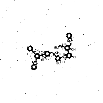 CC(C)(C)CC(C)(C)c1cc(Cn2nc3ccccc3n2)c(O)c(-c2cc(Cl)cc3nn(-c4cc(C(C)(C)Cc5ccc(C(C)(C)c6cc(C(C)(C)c7ccccc7)cc(-n7nc8ccccc8n7)c6O)cc5)cc(C(C)(C)C)c4O)nc23)c1